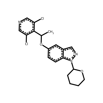 CC(Oc1ccc2c(cnn2C2CCCCO2)c1)c1c(Cl)cncc1Cl